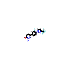 O=C1CCC(c2ccc(-n3ccc(C(F)(F)F)n3)c(F)c2)=NN1